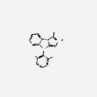 CC1=[N+](N)C=C2C1c1ccccc1N2c1c(C)cccc1C